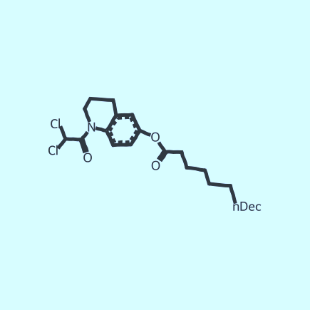 CCCCCCCCCCCCCCCC(=O)Oc1ccc2c(c1)CCCN2C(=O)C(Cl)Cl